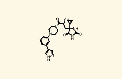 CC(CC1(C2CC2)NC(=O)NC1=O)C(=O)N1CCN(c2cccc(-c3cn[nH]c3)c2)CC1